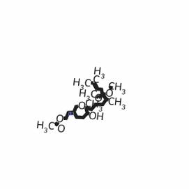 COC(CC=C(C)C)(OC)C(C)CCCC1(C)OC/C(=C/COC(C)=O)CCC1O